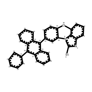 CCc1nc2cccc3c2n1-c1cc(-c2c4ccccc4c(-c4ccccc4)c4ccccc24)ccc1O3